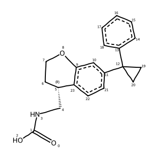 O=C(O)NC[C@@H]1CCOc2cc(C3(c4ccccc4)CC3)ccc21